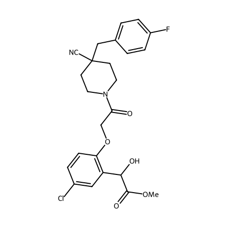 COC(=O)C(O)c1cc(Cl)ccc1OCC(=O)N1CCC(C#N)(Cc2ccc(F)cc2)CC1